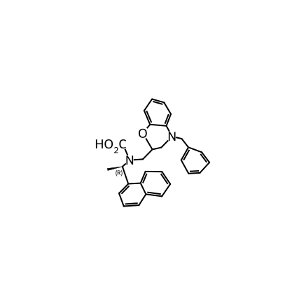 C[C@H](c1cccc2ccccc12)N(CC1CN(Cc2ccccc2)c2ccccc2O1)C(=O)O